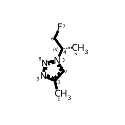 Cc1cn([C@@H](C)CF)nn1